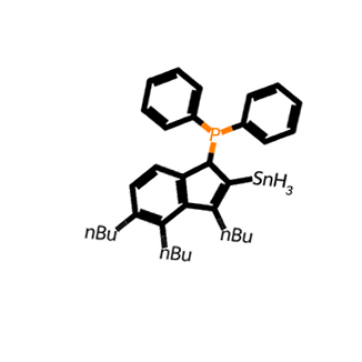 CCCCC1=[C]([SnH3])C(P(c2ccccc2)c2ccccc2)c2ccc(CCCC)c(CCCC)c21